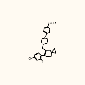 CCOC(=O)c1ccc(N2CCN(CC3=C(c4ccc(Cl)cc4F)CCC4(CC4)C3)CC2)cc1